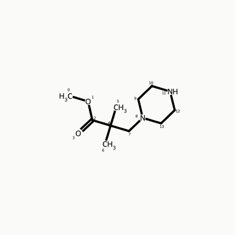 COC(=O)C(C)(C)CN1CCNCC1